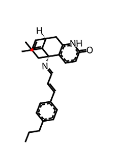 C/C=C1\[C@H]2C=C(C)C[C@]1(N=CC=Cc1ccc(CCC)cc1)c1ccc(=O)[nH]c1C2